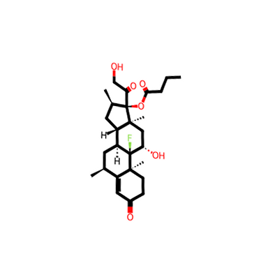 CCCC(=O)O[C@]1(C(=O)CO)[C@H](C)C[C@H]2[C@@H]3C[C@H](C)C4=CC(=O)CC[C@]4(C)[C@@]3(F)[C@@H](O)C[C@@]21C